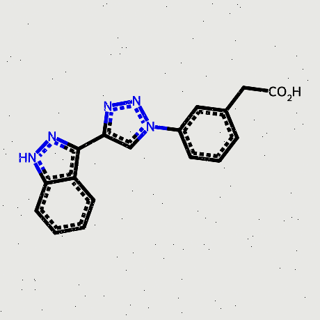 O=C(O)Cc1cccc(-n2cc(-c3n[nH]c4ccccc34)nn2)c1